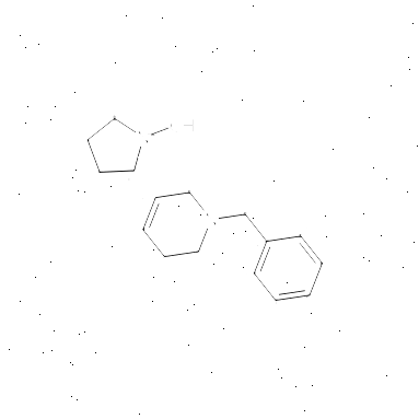 CN1CCC[C@H]1C1=CCCN(Cc2ccccc2)C1